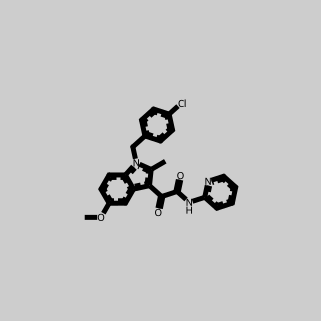 COc1ccc2c(c1)c(C(=O)C(=O)Nc1ccccn1)c(C)n2Cc1ccc(Cl)cc1